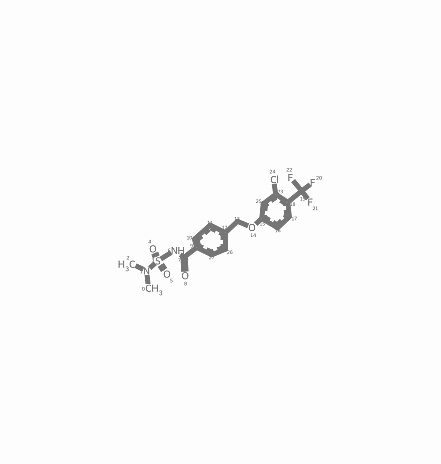 CN(C)S(=O)(=O)NC(=O)c1ccc(COc2ccc(C(F)(F)F)c(Cl)c2)cc1